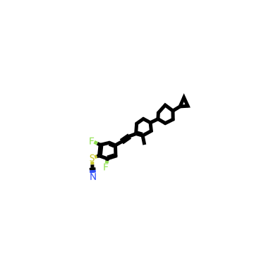 CC1=C(C#Cc2cc(F)c(SC#N)c(F)c2)CCC(C2CCC(C3CC3)CC2)C1